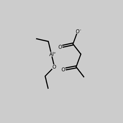 CC(=O)CC(=O)[O-].CC[O][Al+][CH2]C